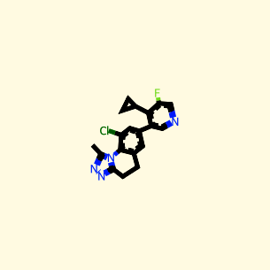 Cc1nnc2n1-c1c(Cl)cc(-c3cncc(F)c3C3CC3)cc1CC2